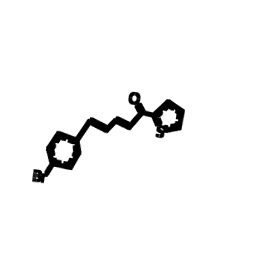 O=C(/C=C/C=C/c1ccc(Br)cc1)c1cccs1